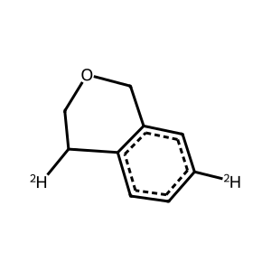 [2H]c1ccc2c(c1)COCC2[2H]